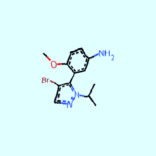 COc1ccc(N)cc1-c1c(Br)cnn1C(C)C